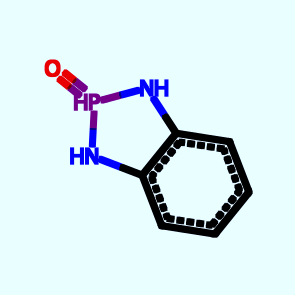 O=[PH]1Nc2ccccc2N1